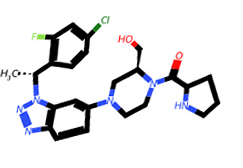 C[C@H](c1ccc(Cl)cc1F)n1nnc2ccc(N3CCN(C(=O)C4CCCN4)[C@H](CO)C3)cc21